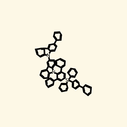 c1ccc(-c2ccc([Si](c3ccccc3)(c3ccccc3)c3cc(-c4ccccc4)c(-n4c5ccccc5c5cc(-n6c7ccccc7c7cc(-c8ccccc8)ccc76)ccc54)c(-c4ccccc4)c3)cc2)cc1